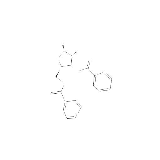 B[C@@H]1O[C@H](COC(=O)c2ccccc2)[C@@H](OC(=O)c2ccccc2)[C@@H]1C